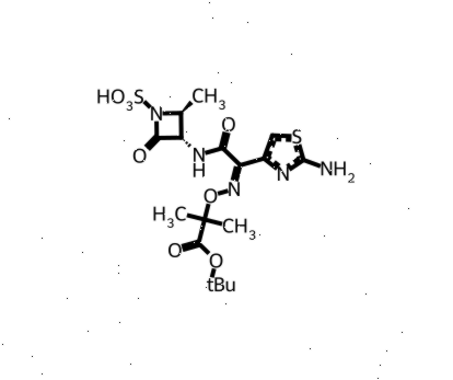 C[C@H]1[C@H](NC(=O)/C(=N\OC(C)(C)C(=O)OC(C)(C)C)c2csc(N)n2)C(=O)N1S(=O)(=O)O